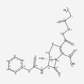 CCC(=O)OOC(=O)C1=C(C(=O)O)N2C(=O)C(NC(=O)Cc3ccccc3)[C@H]2SC1